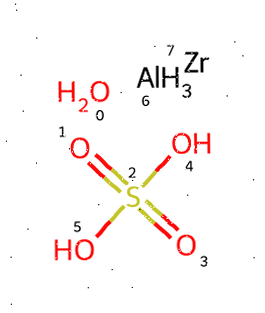 O.O=S(=O)(O)O.[AlH3].[Zr]